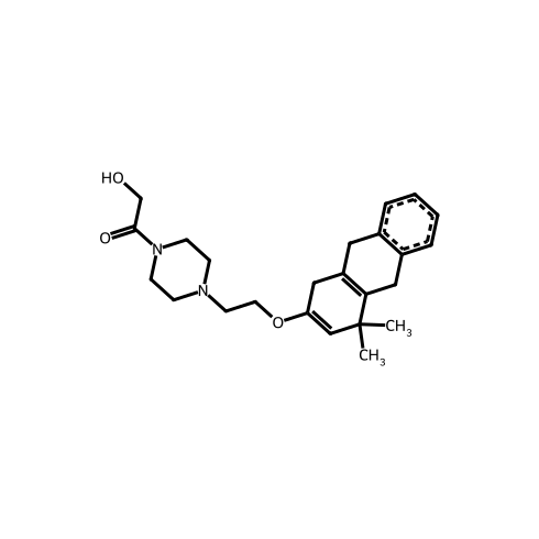 CC1(C)C=C(OCCN2CCN(C(=O)CO)CC2)CC2=C1Cc1ccccc1C2